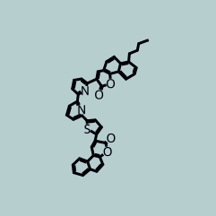 CCCCc1cccc2c1ccc1cc(-c3cccc(-c4cccc(-c5ccc(-c6cc7c(ccc8ccccc87)oc6=O)s5)n4)n3)c(=O)oc12